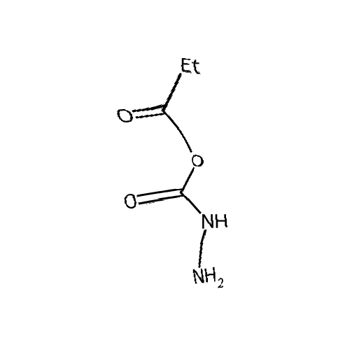 CCC(=O)OC(=O)NN